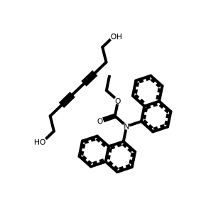 CCOC(=O)N(c1cccc2ccccc12)c1cccc2ccccc12.OCCC#CC#CCCO